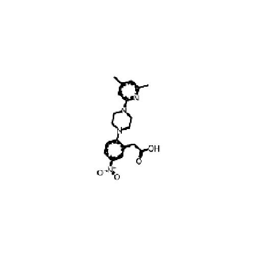 Cc1cc(C)nc(N2CCN(c3ccc([N+](=O)[O-])cc3CC(=O)O)CC2)c1